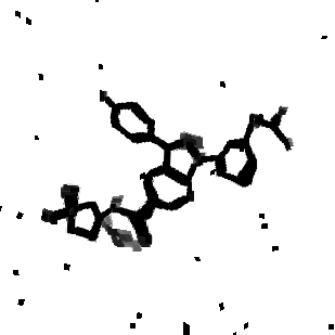 C[C@]1(NC(=O)c2cnc3c(c2)C(c2ccc(F)cc2)NN3c2cccc(OC(F)F)c2)CCS(=O)(=O)C1